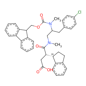 CN(CC(Cc1ccc(Cl)cc1)N(C)C(=O)OCC1c2ccccc2-c2ccccc21)C(=O)C(CC(=O)O)[C@@H]1CCc2ccccc21